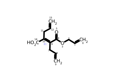 C=CCOC(=O)/C(CC=C)=C(\CC=C)C(=O)O